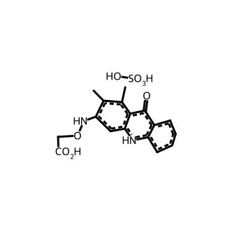 Cc1c(NOCC(=O)O)cc2[nH]c3ccccc3c(=O)c2c1C.O=S(=O)(O)O